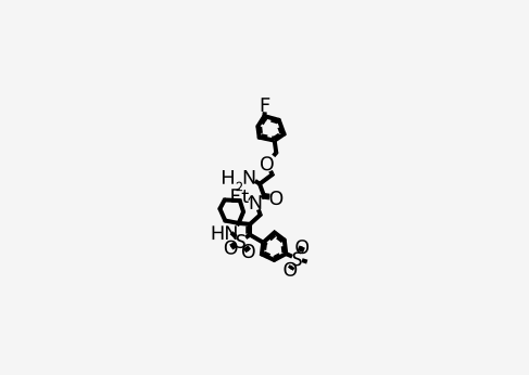 CCN(CC1=C(c2ccc(S(C)(=O)=O)cc2)S(=O)(=O)NC12CCCCC2)C(=O)C(N)COCc1ccc(F)cc1